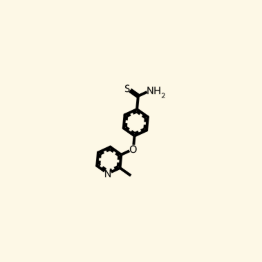 Cc1ncccc1Oc1ccc(C(N)=S)cc1